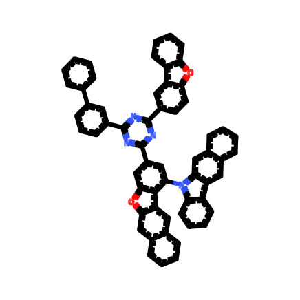 c1ccc(-c2cccc(-c3nc(-c4cc(-n5c6ccccc6c6cc7ccccc7cc65)c5c(c4)oc4cc6ccccc6cc45)nc(-c4ccc5oc6ccccc6c5c4)n3)c2)cc1